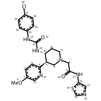 COc1ccc([C@@H]2CN(CC(=O)Nc3cncs3)CC[C@H]2NC(=O)Nc2ccc(Cl)cc2)nc1